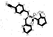 Cc1ccccc1S(=O)(=O)N(Cc1ccc(C#N)cc1)Cc1ccccn1